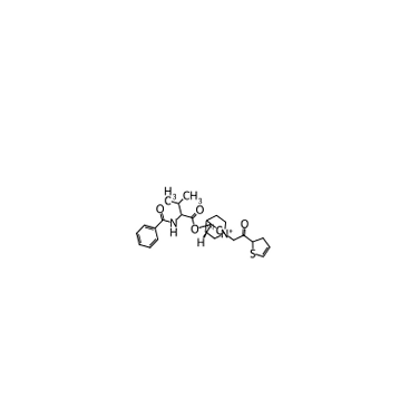 CC(C)C(NC(=O)c1ccccc1)C(=O)O[C@H]1C[N+]2(CC(=O)C3CC=CS3)CCC1CC2